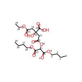 CCCCOC(=O)C(OC(=O)CC(O)(CC(=O)OCC)C(=O)O)C(=O)OCCCC